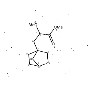 COC(=O)C(CC12CCN(CC1)C2)OC